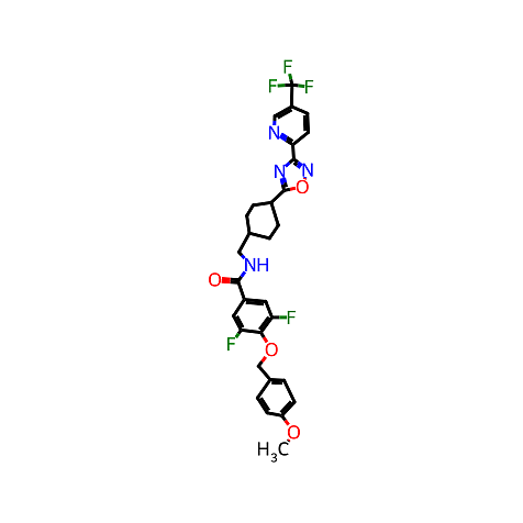 COc1ccc(COc2c(F)cc(C(=O)NCC3CCC(c4nc(-c5ccc(C(F)(F)F)cn5)no4)CC3)cc2F)cc1